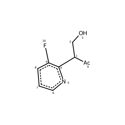 CC(=O)C(CO)c1ncccc1F